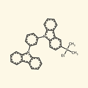 CC[Si](C)(C)c1ccc2c(c1)c1ccccc1n2-c1cccc(-n2c3ccccc3c3ccccc32)c1